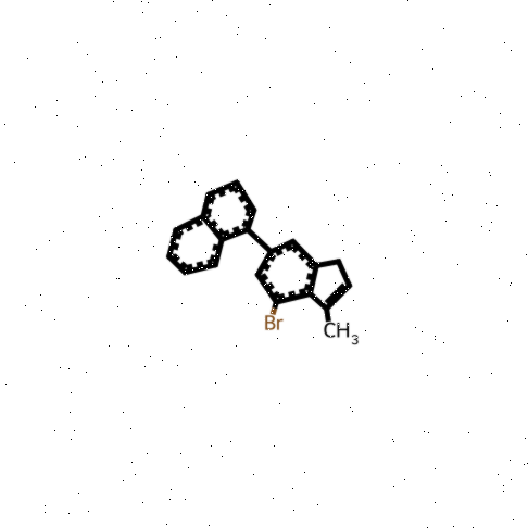 CC1=CCc2cc(-c3cccc4ccccc34)cc(Br)c21